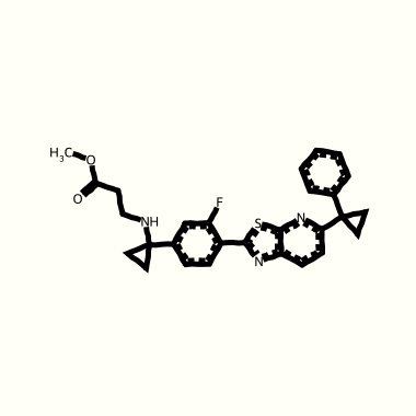 COC(=O)CCNC1(c2ccc(-c3nc4ccc(C5(c6ccccc6)CC5)nc4s3)c(F)c2)CC1